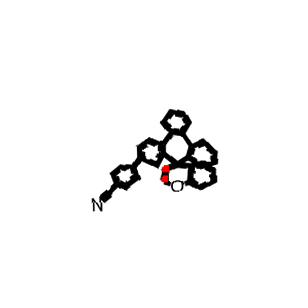 N#Cc1ccc(-c2ccc3c(c2)C2(c4ccccc4Oc4ccccc42)c2ccccc2-c2ccccc2-3)cc1